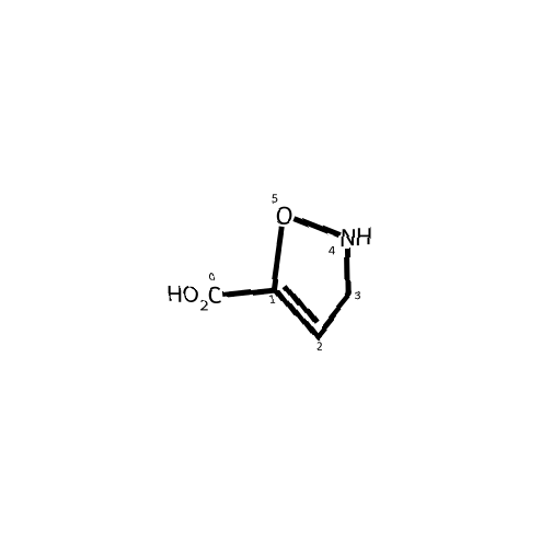 O=C(O)C1=CCNO1